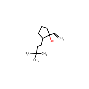 C=CC1(O)CCCC1CCC(C)(C)C